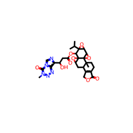 CC(C)C12OC1C1OC13C1(C)CCC4=C(COC4=O)C1CC1OC13C2OC(=O)CC(O)c1ncn2c(=O)n(C)nnc12